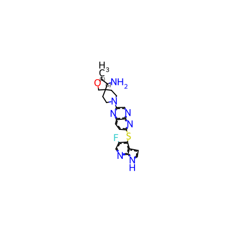 C[C@@H]1OCC2(CCN(c3cnc4nc(Sc5c(F)cnc6[nH]ccc56)ccc4n3)CC2)[C@@H]1N